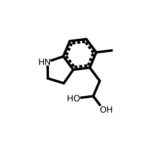 Cc1ccc2c(c1CC(O)O)CCN2